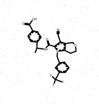 CC(NC(=O)c1c(C#N)c2c(n1Cc1cccc(C(F)(F)F)c1)CCOC2)c1ccc(C(=O)O)cc1